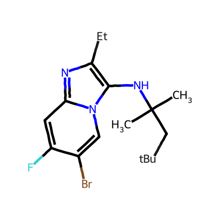 CCc1nc2cc(F)c(Br)cn2c1NC(C)(C)CC(C)(C)C